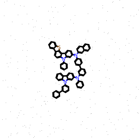 c1ccc(-c2cccc(-n3c4ccccc4c4ccc(N(c5ccccc5)c5cccc(-c6ccc(N(c7ccc8ccccc8c7)c7ccc8c9c%10sc%11ccccc%11c%10ccc9n(-c9ccccc9)c8c7)cc6)c5)cc43)c2)cc1